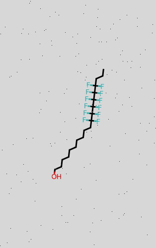 CCCC(F)(F)C(F)(F)C(F)(F)C(F)(F)C(F)(F)C(F)(F)CCCCCCCCCCO